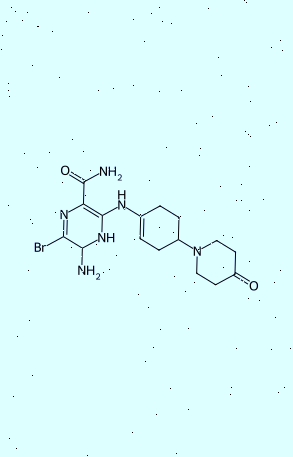 NC(=O)C1=C(NC2=CCC(N3CCC(=O)CC3)CC2)NC(N)C(Br)=N1